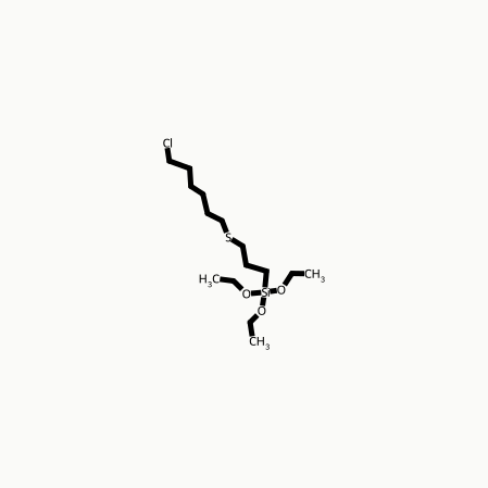 CCO[Si](CCCSCCCCCCCl)(OCC)OCC